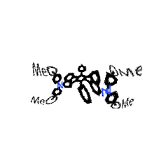 COc1ccc(N(c2ccc(OC)cc2)c2ccc3c4c(-c5ccccc5)c5c6ccc(N(c7ccc(OC)cc7)c7ccc(OC)cc7)c7cccc(c5c(-c5ccccc5)c4c4cccc2c43)c76)cc1